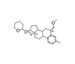 COC[C@@H]1CC2C(CC[C@@]3(C)C2CC[C@@H]3OC2CCCCO2)c2ccc(C)cc21